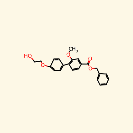 COc1cc(C(=O)OCc2ccccc2)ccc1-c1ccc(OCCO)cc1